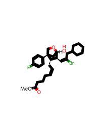 COC(=O)CCC/C=C\C[C@H]1[C@H](/C=C(/Br)[C@H](O)C2CCCCC2)[C@@H]2C[C@@]1(c1ccc(F)cc1)CO2